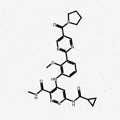 CNC(=O)c1nnc(NC(=O)C2CC2)cc1Nc1cccc(-c2ncc(C(=O)N3CCCC3)cn2)c1OC